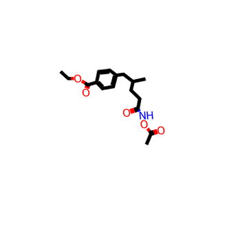 CCOC(=O)c1ccc(CC(C)CCC(=O)NOC(C)=O)cc1